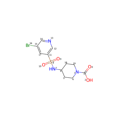 O=C(O)N1CCC(NS(=O)(=O)c2cncc(Br)c2)CC1